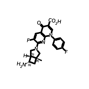 C[C@@]12C[C@H](N)[C@@H]1CN(c1nc3c(cc1F)c(=O)c(C(=O)O)cn3-c1ccc(F)cc1)C2